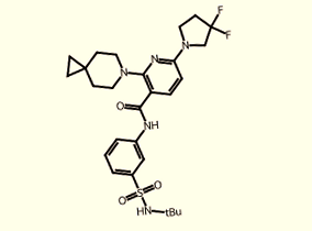 CC(C)(C)NS(=O)(=O)c1cccc(NC(=O)c2ccc(N3CCC(F)(F)C3)nc2N2CCC3(CC2)CC3)c1